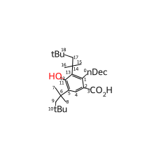 CCCCCCCCCCc1c(C(=O)O)cc(C(C)(C)CC(C)(C)C)c(O)c1C(C)(C)CC(C)(C)C